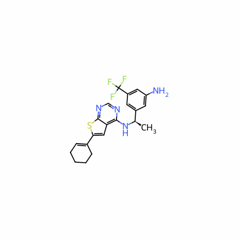 C[C@@H](Nc1ncnc2sc(C3=CCCCC3)cc12)c1cc(N)cc(C(F)(F)F)c1